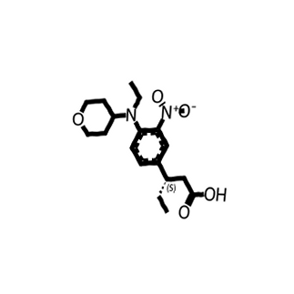 CC[C@@H](CC(=O)O)c1ccc(N(CC)C2CCOCC2)c([N+](=O)[O-])c1